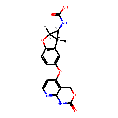 O=C(O)N[C@@H]1[C@H]2Oc3ccc(Oc4ccnc5c4COC(=O)N5)cc3[C@@H]12